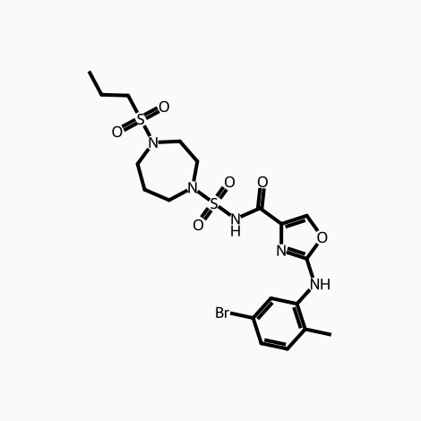 CCCS(=O)(=O)N1CCCN(S(=O)(=O)NC(=O)c2coc(Nc3cc(Br)ccc3C)n2)CC1